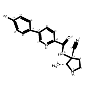 C[C@H]1NCC[C@@]1(C#N)NC(=O)c1ccc(-c2ccc(F)cc2)cn1